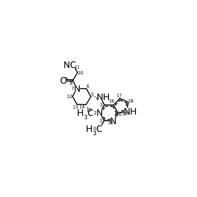 Cc1nc(N[C@H]2CN(C(=O)CC#N)CC[C@H]2C)c2cc[nH]c2n1